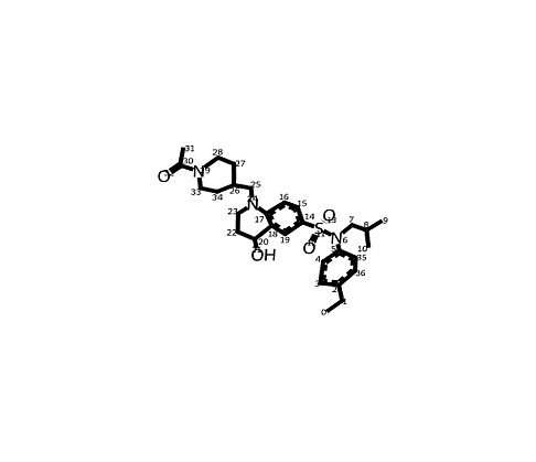 CCc1ccc(N(CC(C)C)S(=O)(=O)c2ccc3c(c2)C(O)CCN3CC2CCN(C(C)=O)CC2)cc1